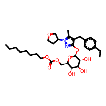 CCCCCCCCOC(=O)OC[C@H]1O[C@@H](Oc2nn(C3CCOC3)c(C)c2Cc2ccc(CC)cc2)[C@H](O)[C@@H](O)[C@@H]1O